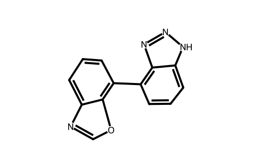 c1cc(-c2cccc3[nH]nnc23)c2ocnc2c1